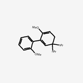 CCCC1(CCC)C=C(c2ccccc2OC)C(OC)=CC1